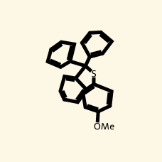 COc1ccc(SC(c2ccccc2)(c2ccccc2)c2ccccc2)cc1